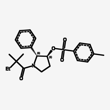 CCC(C)(C)C(=O)N1CC[C@H](OS(=O)(=O)c2ccc(C)cc2)[C@H]1c1ccccc1